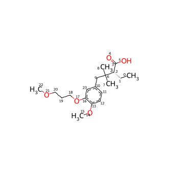 CC[C@@H](C(=O)O)C(C)(C)Cc1ccc(OC)c(OCCCOC)c1